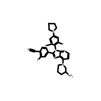 N#Cc1ccc(-c2nc3c(N4CCCC(N)C4)ccnc3n2-c2c(F)cc(N3CCCC3)cc2F)cc1F